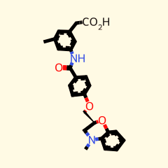 Cc1cc(CC(=O)O)cc(NC(=O)c2ccc(OC[C@@H]3CN(C)c4ccccc4O3)cc2)c1